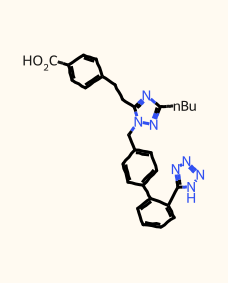 CCCCc1nc(CCc2ccc(C(=O)O)cc2)n(Cc2ccc(-c3ccccc3-c3nnn[nH]3)cc2)n1